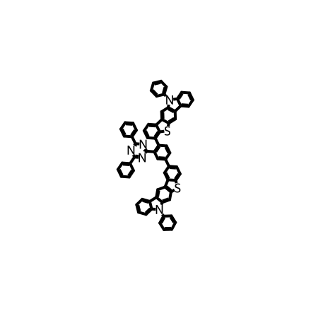 c1ccc(-c2nc(-c3ccccc3)nc(-c3cc(-c4ccc5sc6cc7c(cc6c5c4)c4ccccc4n7-c4ccccc4)ccc3-c3cccc4c3sc3cc5c6ccccc6n(-c6ccccc6)c5cc34)n2)cc1